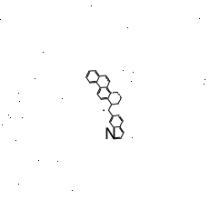 [CH](c1ccc2cccnc2c1)C1CCCc2c1ccc1c2ccc2ccccc21